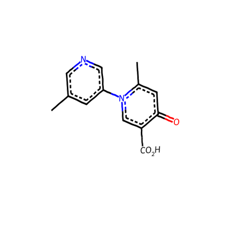 Cc1cncc(-n2cc(C(=O)O)c(=O)cc2C)c1